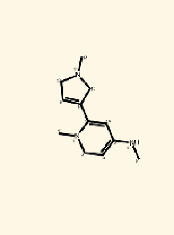 CNC1=CCN(C)C(C2=CCN(C)C2)=C1